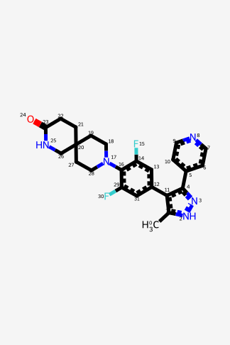 Cc1[nH]nc(-c2ccncc2)c1-c1cc(F)c(N2CCC3(CCC(=O)NC3)CC2)c(F)c1